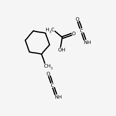 CC(=O)O.CC1CCCCC1.N=C=O.N=C=O